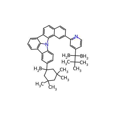 BC1(c2ccc3c(c2)c2cccc4c5ccc6ccc(-c7cc(C(B)(B)C(C)(C)C)ccn7)cc6c5n3c24)CC(C)(C)CC(C)(C)C1